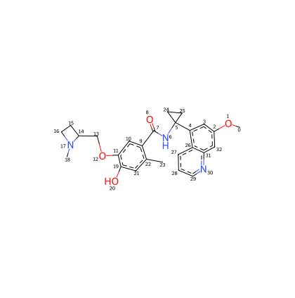 COc1cc(C2(NC(=O)c3cc(OCC4CCN4C)c(O)cc3C)CC2)c2cccnc2c1